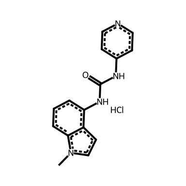 Cl.Cn1ccc2c(NC(=O)Nc3ccncc3)cccc21